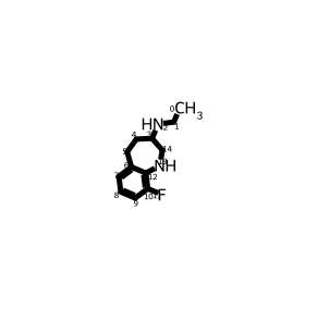 CCNC1CCc2cccc(F)c2NC1